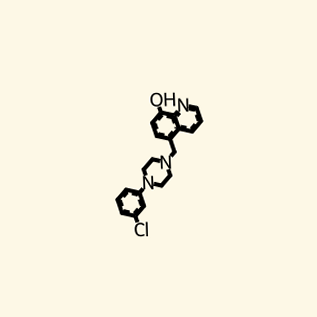 Oc1ccc(CN2CCN(c3cccc(Cl)c3)CC2)c2cccnc12